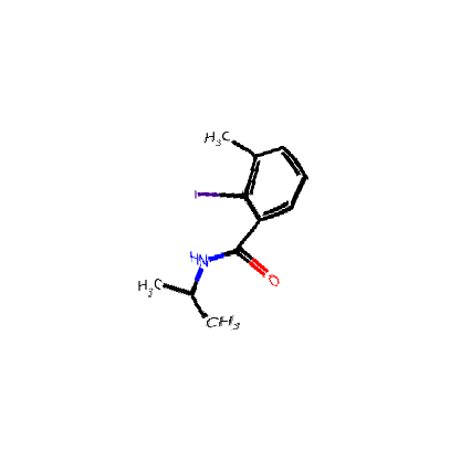 Cc1cccc(C(=O)NC(C)C)c1I